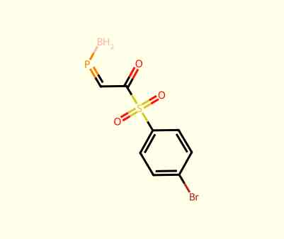 B/P=C\C(=O)S(=O)(=O)c1ccc(Br)cc1